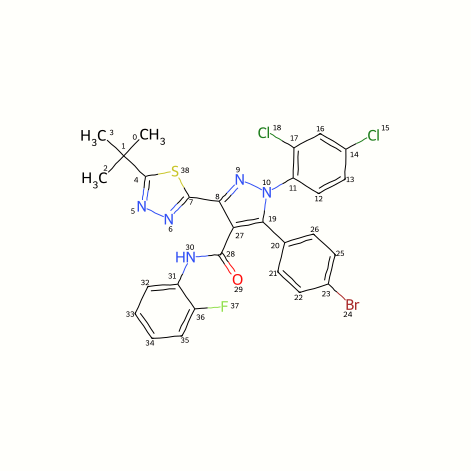 CC(C)(C)c1nnc(-c2nn(-c3ccc(Cl)cc3Cl)c(-c3ccc(Br)cc3)c2C(=O)Nc2ccccc2F)s1